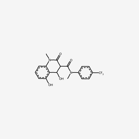 CN(C(=O)C1C(=O)N(C)c2cccc(O)c2C1O)c1ccc(C(F)(F)F)cc1